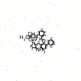 CC(C)(C)OC(=O)N1CCC(N)C1Cc1cccc(-c2ccccc2)c1OCc1ccccc1